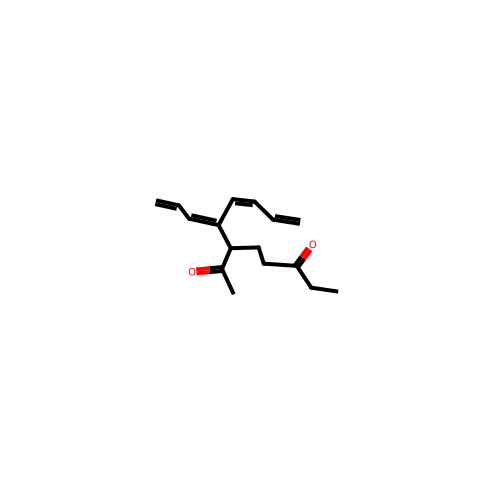 C=C/C=C\C(=C/C=C)C(CCC(=O)CC)C(C)=O